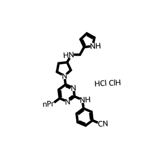 CCCc1cc(N2CCC(NCc3ccc[nH]3)C2)nc(Nc2cccc(C#N)c2)n1.Cl.Cl